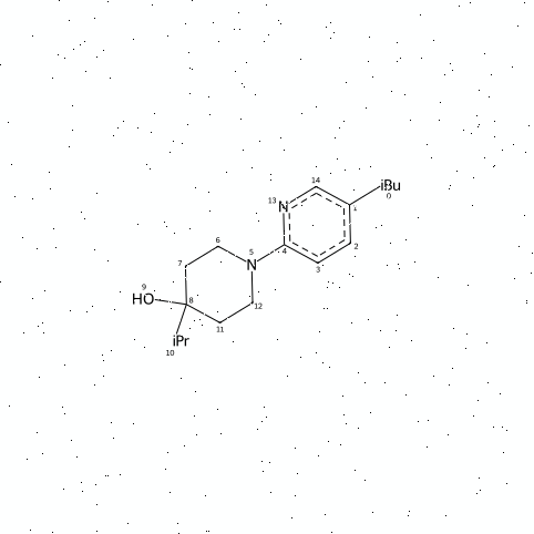 CCC(C)c1ccc(N2CCC(O)(C(C)C)CC2)nc1